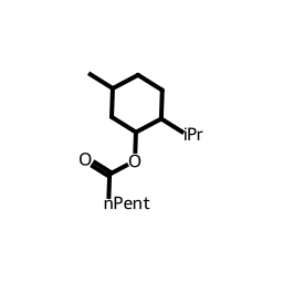 CCCCCC(=O)OC1CC(C)CCC1C(C)C